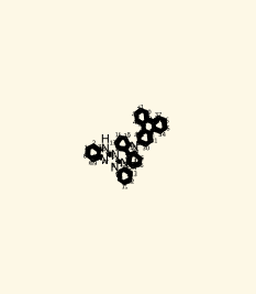 c1ccc2[nH]c(N(c3nc4ccccc4[nH]3)c3cccc4c3c3ccccc3n4-c3ccc4c5ccccc5c5ccccc5c4c3)nc2c1